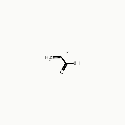 C=CC(=O)O.[P]